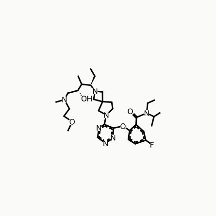 CC[C@H](C(C)[C@H](O)CN(C)CCOC)N1CC2(CCN(c3ncnnc3Oc3ccc(F)cc3C(=O)N(CC)C(C)C)C2)C1